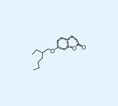 CCCCC(CC)COc1ccc2ccc(=O)oc2c1